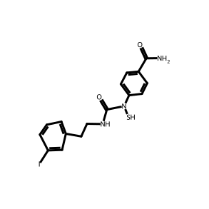 NC(=O)c1ccc(N(S)C(=O)NCCc2cccc(I)c2)cc1